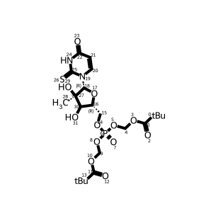 CC(C)(C)C(=O)OCOP(=O)(OCOC(=O)C(C)(C)C)OC[C@H]1O[C@@H](n2ccc(=O)[nH]c2=S)[C@](C)(O)C1O